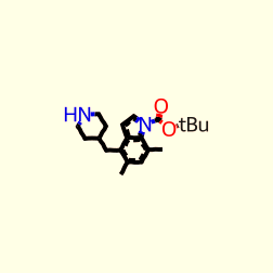 Cc1cc(C)c2c(ccn2C(=O)OC(C)(C)C)c1CC1CCNCC1